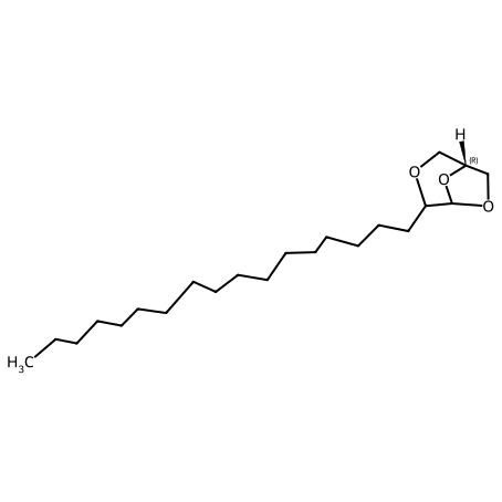 CCCCCCCCCCCCCCCCCC1OC[C@@H]2COC1O2